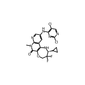 Cn1c(=O)c2c(c3cc(Nc4nc(Cl)ncc4Cl)cnc31)N[C@@H](C1CC1)C(F)(F)CO2